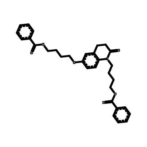 O=C(OCCCCOc1ccc2c(c1)CCC(=O)N2CCCCOC(=O)c1ccccc1)c1ccccc1